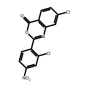 O=c1oc(-c2ccc([N+](=O)[O-])cc2Cl)nc2cc(Cl)ccc12